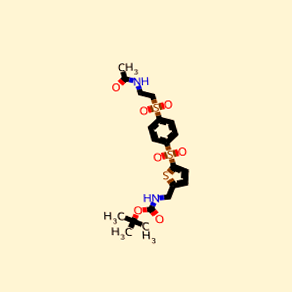 CC(=O)NCCS(=O)(=O)c1ccc(S(=O)(=O)c2ccc(CNC(=O)OC(C)(C)C)s2)cc1